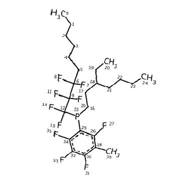 CCCCCCC(F)(F)C(F)(F)C(F)(F)P(CCC(CC)CCCC)c1c(F)c(C)c(F)c(F)c1F